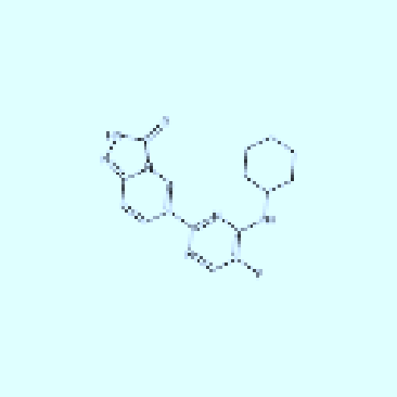 O=c1[nH]nc2ccc(-c3ncc(F)c(NC4CCCCC4)n3)cn12